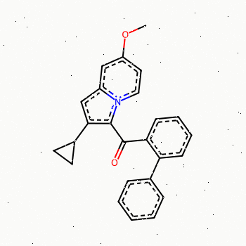 COc1ccn2c(C(=O)c3ccccc3-c3ccccc3)c(C3CC3)cc2c1